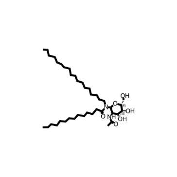 CCCCCCCCCCCCCCCCCCN(C(=O)CCCCCCCCCCCCC)C1O[C@H](CO)[C@@H](O)[C@H](O)[C@H]1NC(C)=O